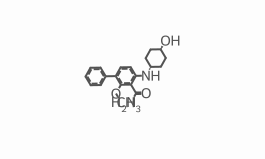 COc1c(-c2ccccc2)ccc(N[C@H]2CC[C@H](O)CC2)c1C(N)=O